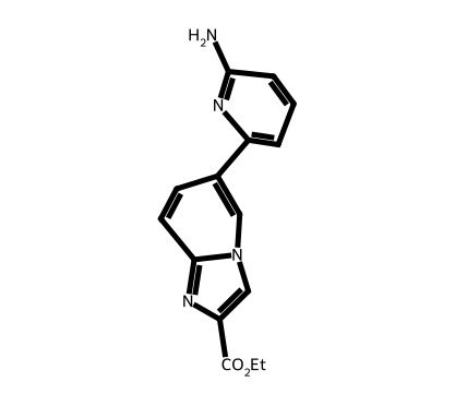 CCOC(=O)c1cn2cc(-c3cccc(N)n3)ccc2n1